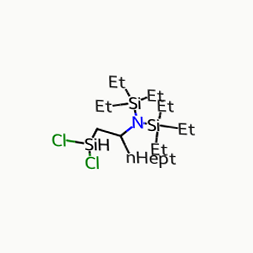 CCCCCCCC(C[SiH](Cl)Cl)N([Si](CC)(CC)CC)[Si](CC)(CC)CC